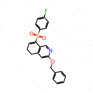 O=S(=O)(C1=CCCc2cc(OCc3ccccc3)ncc21)c1ccc(F)cc1